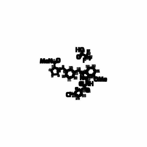 CNC(=O)[C@@H]1CCCN1Cc1cccc(Cn2nc(NS(=O)(=O)c3ccc(Cl)s3)c3c(OC)cccc32)c1.O=C(O)C(F)(F)F